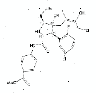 COC(=O)c1ccc(NC(=O)[C@@H]2N[C@@H](CC(C)(C)C)[C@@](C#N)(CC(F)=C(C)CCl)[C@H]2c2cc(Cl)ccc2F)cc1